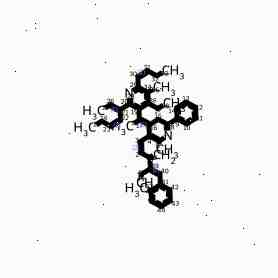 C=C(/C=C\C1=C(C)N=C(c2ccccc2)C/C1=C(/C)c1c(C(/C=C\CC)=C/C)nc(/C=C\CC)c(C)c1CC)/C(=C/c1ccccc1C)CC